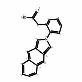 O=C(O)Cc1ccccc1-n1cc2cc3ccccc3cc2c1